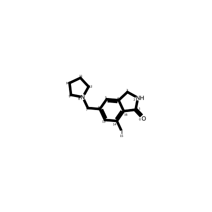 O=C1NCc2cc(CN3CCCC3)cc(I)c21